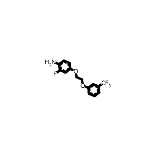 Nc1ccc(OCCOc2cccc(C(F)(F)F)c2)cc1F